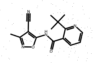 Cc1noc(NC(=O)c2cccnc2C(C)(C)C)c1C#N